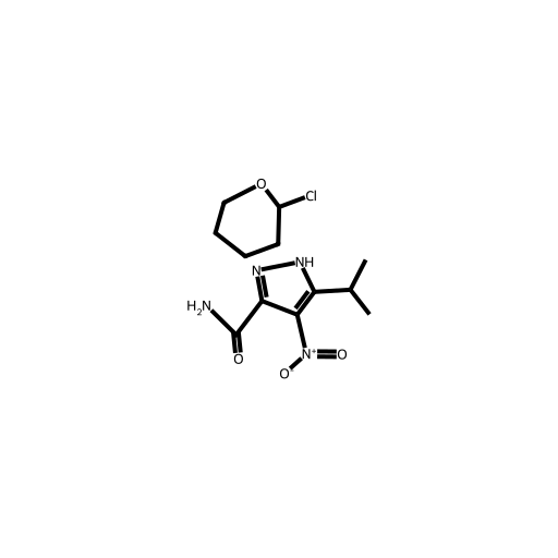 CC(C)c1[nH]nc(C(N)=O)c1[N+](=O)[O-].ClC1CCCCO1